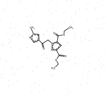 CCOC(=O)c1cc(C(=O)OCC)n(CC(=O)c2cnn(C)c2)n1